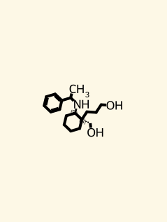 CC(N[C@@H]1CCCC[C@]1(CO)CCCO)c1ccccc1